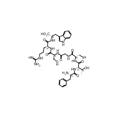 C[C@@H](O)[C@H](NC(=O)[C@@H](N)Cc1ccccc1)C(=O)N[C@@H](CS)C(=O)NCC(=O)N[C@@H](CO)C(=O)N[C@@H](CCCNC(=N)N)C(=O)N[C@@H](Cc1c[nH]c2ccccc12)C(=O)O